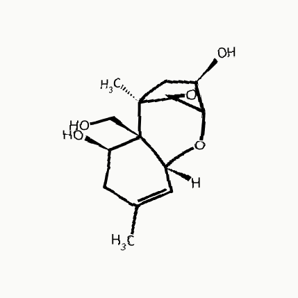 CC1=C[C@H]2OC3[C@H](O)C[C@@](C)(C34CO4)[C@@]2(CO)[C@H](O)C1